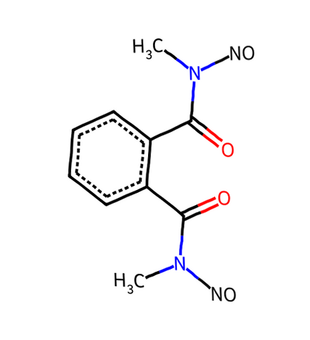 CN(N=O)C(=O)c1ccccc1C(=O)N(C)N=O